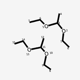 CCOC(C)OCC.CCOC(C)OCC